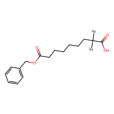 [2H]C([2H])(CCCCCCC(=O)OCc1ccccc1)C(=O)O